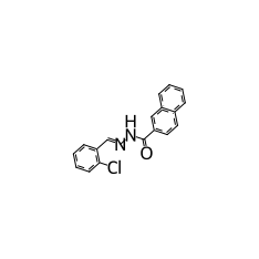 O=C(NN=Cc1ccccc1Cl)c1ccc2ccccc2c1